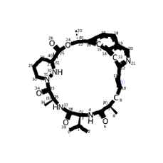 CC(C)[C@@H]1NC(=O)[C@H](C)C/C=C/c2cc3cc(ccc3cn2)[C@@H](C)OC(=O)[C@@H]2CCCN(N2)C(=O)[C@H](C)NC1=O